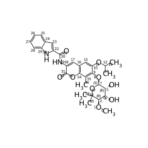 CO[C@@H]1[C@@H](O)[C@@H](O)[C@H](Oc2c(OC(C)C)cc3cc(NC(=O)c4cc5ccccc5[nH]4)c(=O)oc3c2C)OC1(C)C